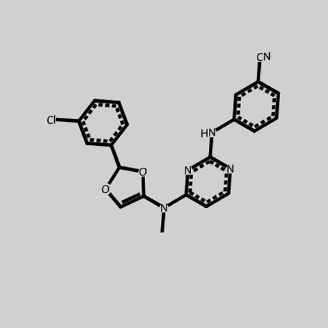 CN(C1=COC(c2cccc(Cl)c2)O1)c1ccnc(Nc2cccc(C#N)c2)n1